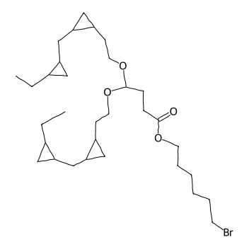 CCC1CC1CC1CC1CCOC(CCC(=O)OCCCCCCBr)OCCC1CC1CC1CC1CC